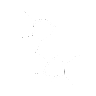 Nc1cc(F)c(Oc2ccnc(N)c2I)cc1F